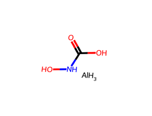 O=C(O)NO.[AlH3]